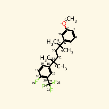 COc1cccc(C(C)(C)CCC(C)(C)c2ccc(F)c(C(F)(F)F)c2)c1